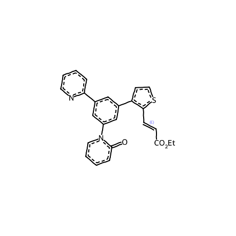 CCOC(=O)/C=C/c1sccc1-c1cc(-c2ccccn2)cc(-n2ccccc2=O)c1